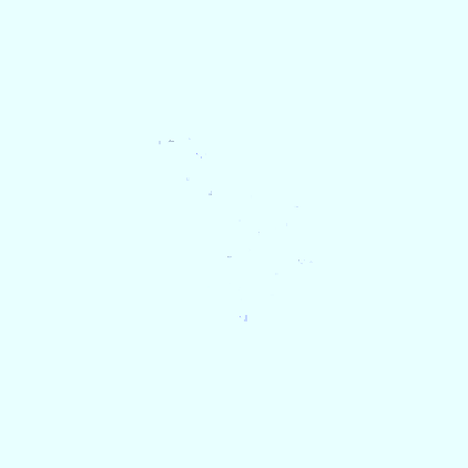 CCCCCN1CCC(CCC(=O)c2cc(Cl)c(N)cc2OC)CC1.Cl